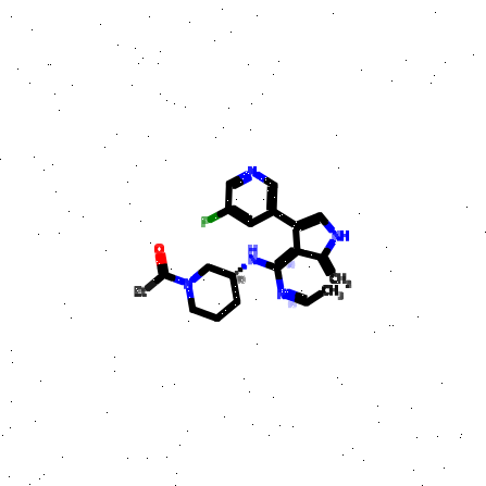 C=c1[nH]cc(-c2cncc(F)c2)/c1=C(/N=C\C)N[C@@H]1CCCN(C(=O)CC)C1